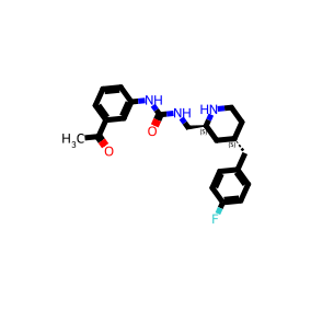 CC(=O)c1cccc(NC(=O)NC[C@@H]2C[C@@H](Cc3ccc(F)cc3)CCN2)c1